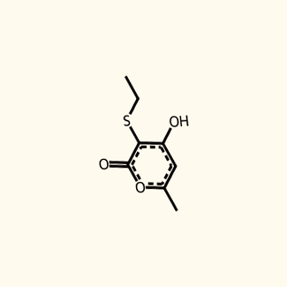 CCSc1c(O)cc(C)oc1=O